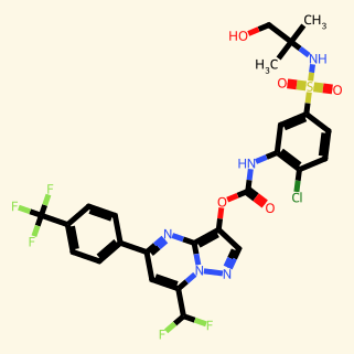 CC(C)(CO)NS(=O)(=O)c1ccc(Cl)c(NC(=O)Oc2cnn3c(C(F)F)cc(-c4ccc(C(F)(F)F)cc4)nc23)c1